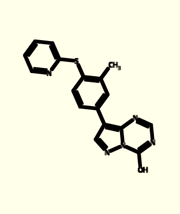 Cc1cc(-c2cnn3c(O)ncnc23)ccc1Sc1ccccn1